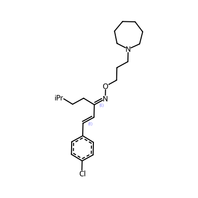 CC(C)CCC(/C=C/c1ccc(Cl)cc1)=N\OCCCN1CCCCCC1